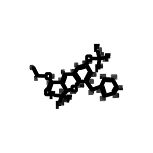 CCOC(=O)C1=Cc2cc(OC(F)(F)F)cc(Cc3ccccc3)c2OC1C(F)(F)F